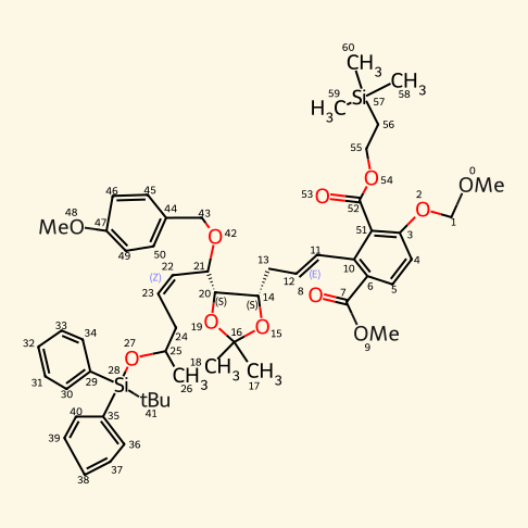 COCOc1ccc(C(=O)OC)c(/C=C/C[C@@H]2OC(C)(C)O[C@@H]2C(/C=C\CC(C)O[Si](c2ccccc2)(c2ccccc2)C(C)(C)C)OCc2ccc(OC)cc2)c1C(=O)OCC[Si](C)(C)C